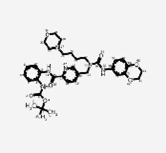 CC(C)(C)OC(=O)Nc1ccccc1NC(=O)c1ccc(CN(CCCCN2CCOCC2)C(=O)Nc2ccc3c(c2)OCCO3)cn1